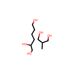 CC(CO)CO.OCCCCC(O)CO